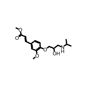 COC(=O)C=Cc1ccc(OCC(O)CNC(C)C)c(OC)c1